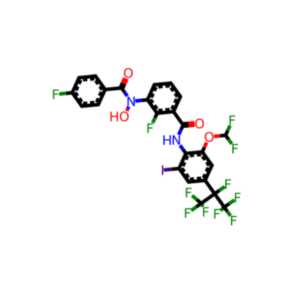 O=C(Nc1c(I)cc(C(F)(C(F)(F)F)C(F)(F)F)cc1OC(F)F)c1cccc(N(O)C(=O)c2ccc(F)cc2)c1F